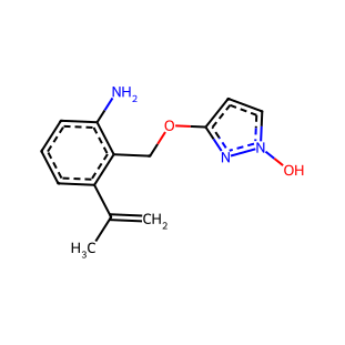 C=C(C)c1cccc(N)c1COc1ccn(O)n1